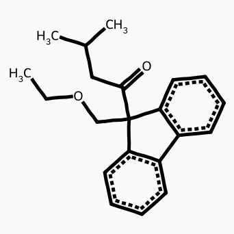 CCOCC1(C(=O)CC(C)C)c2ccccc2-c2ccccc21